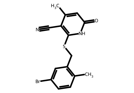 Cc1ccc(Br)cc1CSc1[nH]c(=O)cc(C)c1C#N